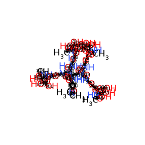 CC(=O)NC1C(OCCOCCNC(=O)CN(CC(=O)NCCOCCOC2OC(CO)C(O)C(O)C2NC(C)=O)C(=O)CCC(NC(=O)C2CCC(ON(C)C)CC2)C(=O)N(CC(=O)NCCOCCOC2OC(CO)C(O)C(O)C2NC(C)=O)CC(=O)NCCOCCOC2OC(CO)C(O)C(O)C2NC(C)=O)OC(CO)C(O)C1O